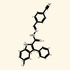 N#Cc1ccc(C=NNC(=O)c2[nH]c3ccc(F)cc3c2-c2ccccc2)cc1